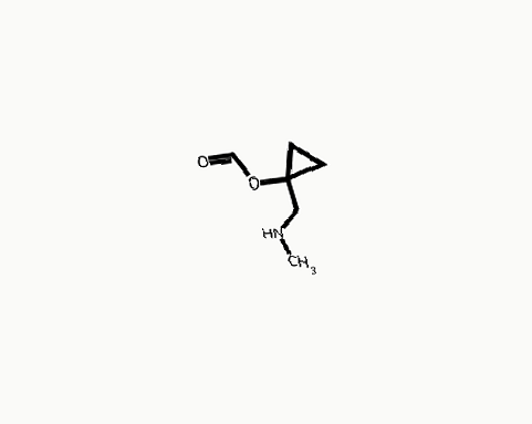 CNCC1(OC=O)CC1